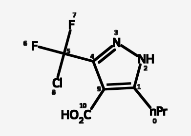 CCCc1[nH]nc(C(F)(F)Cl)c1C(=O)O